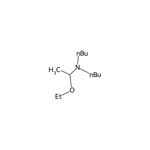 CCCCN(CCCC)C(C)OCC